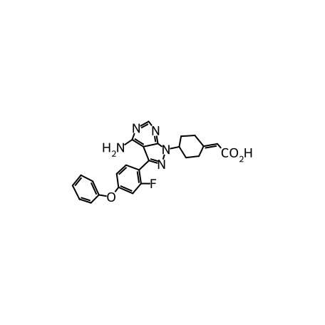 Nc1ncnc2c1c(-c1ccc(Oc3ccccc3)cc1F)nn2C1CCC(=CC(=O)O)CC1